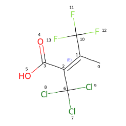 C/C(=C(/C(=O)O)C(Cl)(Cl)Cl)C(F)(F)F